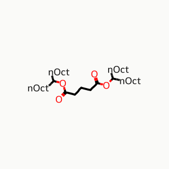 CCCCCCCCC(CCCCCCCC)OC(=O)CCCC(=O)OC(CCCCCCCC)CCCCCCCC